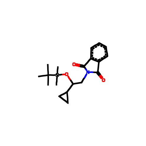 CC(C)(C)[Si](C)(C)OC(CN1C(=O)c2ccccc2C1=O)C1CC1